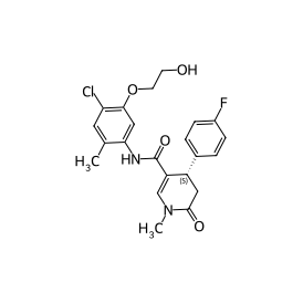 Cc1cc(Cl)c(OCCO)cc1NC(=O)C1=CN(C)C(=O)C[C@H]1c1ccc(F)cc1